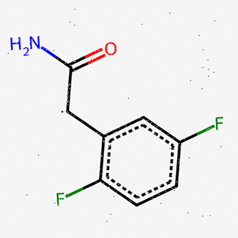 NC(=O)[CH]c1cc(F)ccc1F